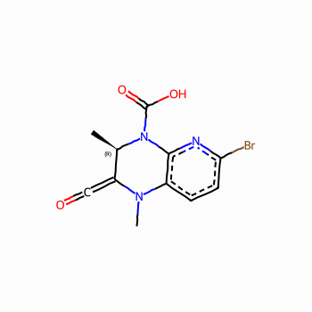 C[C@@H]1C(=C=O)N(C)c2ccc(Br)nc2N1C(=O)O